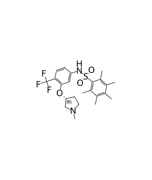 Cc1c(C)c(C)c(S(=O)(=O)Nc2ccc(C(F)(F)F)c(O[C@@H]3CCN(C)C3)c2)c(C)c1C